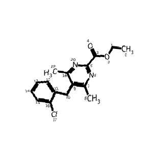 CCOC(=O)c1nc(C)c(Cc2ccccc2Cl)c(C)n1